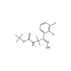 CC(C)(C)OC(=O)NC(C)(C)C(=NO)c1cccc(F)c1F